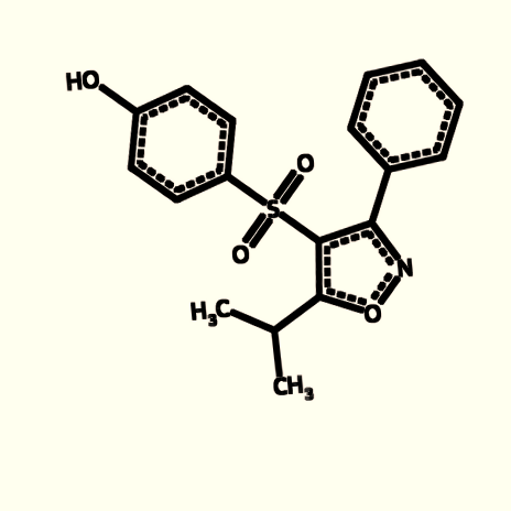 CC(C)c1onc(-c2ccccc2)c1S(=O)(=O)c1ccc(O)cc1